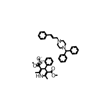 C(=C\c1ccccc1)/CN1CCN(C(c2ccccc2)c2ccccc2)CC1.COC(=O)C1=C(C)NC(C)=C(C(=O)OC)C1c1ccccc1[N+](=O)[O-]